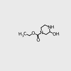 CCOC(=O)N1CCNC(O)C1